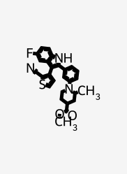 COC(=O)C1CCN(c2cccc(-c3[nH]c4ccc(F)cc4c3-c3ccsc3C#N)c2)C(C)C1